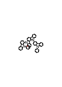 c1ccc(-n2c3ccccc3c3cc(-n4c5ccccc5c5ccc6c(c7ccccc7n6-c6cccc7c8ccccc8n(-c8ccccc8)c67)c54)ccc32)cc1